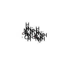 [Cu+2].c1ccc2c(c1)C1=NC2=Nc2[nH]c(c3ccccc23)[N-]c2[nH]c(c3ccccc23)/N=c2\[nH]c(c3ccccc23)=N1.c1ccc2c(c1)C1=NC2=Nc2[nH]c(c3ccccc23)[N-]c2[nH]c(c3ccccc23)/N=c2\[nH]c(c3ccccc23)=N1